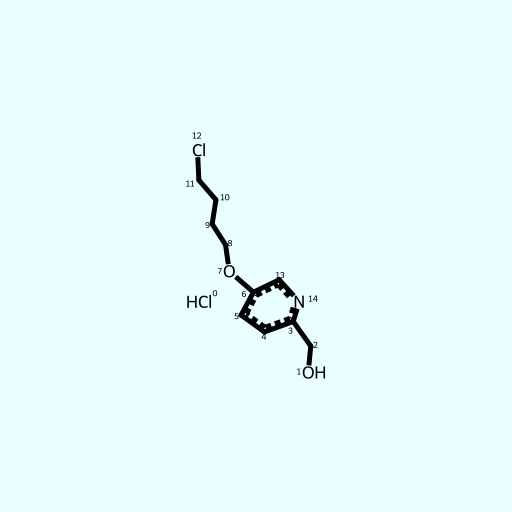 Cl.OCc1ccc(OCCCCCl)cn1